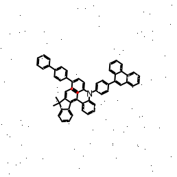 CC1(C)c2ccccc2-c2c(-c3ccccc3N(c3ccc(-c4ccc(-c5ccccc5)cc4)cc3)c3ccc(-c4cc5ccccc5c5ccccc45)cc3)cccc21